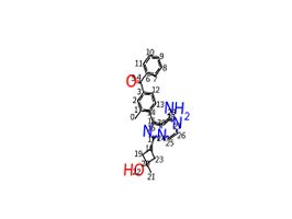 Cc1cc(C(=O)c2ccccc2)ccc1-c1nc(C2CC(C)(O)C2)n2ccnc(N)c12